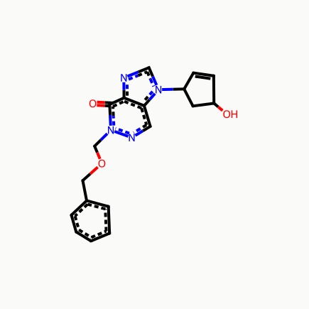 O=c1c2ncn(C3C=CC(O)C3)c2cnn1COCc1ccccc1